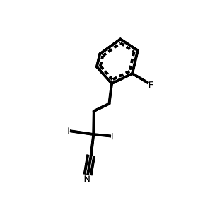 N#CC(I)(I)CCc1ccccc1F